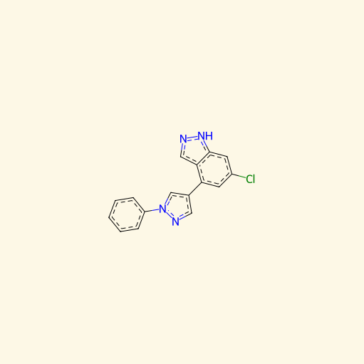 Clc1cc(-c2cnn(-c3ccccc3)c2)c2cn[nH]c2c1